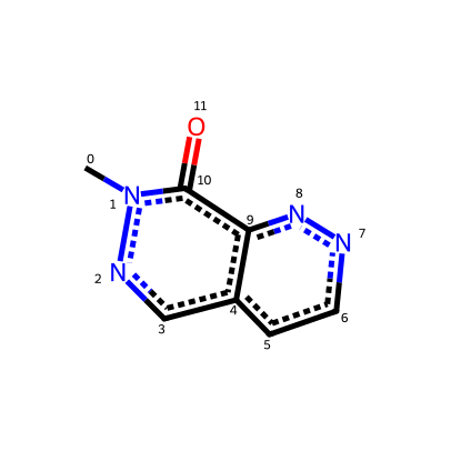 Cn1ncc2ccnnc2c1=O